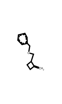 C=C1CCC1COCc1ccccc1